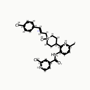 Cc1ccc(NC(=O)c2ccnc(Cl)c2)c(C2CC[N+]([O-])(C/C=C/c3ccc(Cl)cc3)CC2)n1